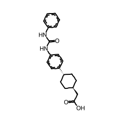 O=C(O)C[C@H]1CC[C@H](c2ccc(NC(=O)Nc3ccccc3)cc2)CC1